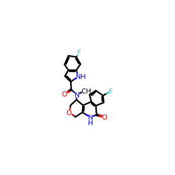 CN(C(=O)c1cc2ccc(F)cc2[nH]1)C1COCc2[nH]c(=O)c3cc(F)ccc3c21